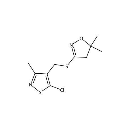 Cc1nsc(Cl)c1CSC1=NOC(C)(C)C1